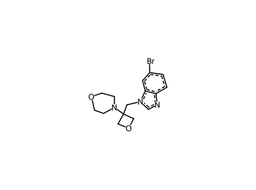 Brc1ccc2ncn(CC3(N4CCOCC4)COC3)c2c1